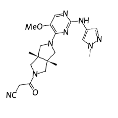 COc1cnc(Nc2cnn(C)c2)nc1N1C[C@]2(C)CN(C(=O)CC#N)C[C@]2(C)C1